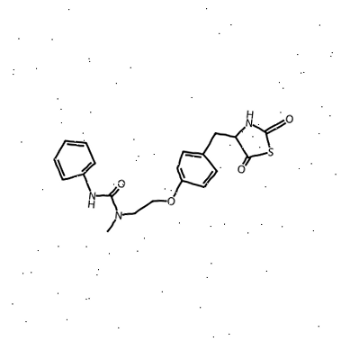 CN(CCOc1ccc(CC2NC(=O)SC2=O)cc1)C(=O)Nc1ccccc1